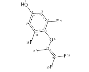 Oc1cc(F)c(OC(F)=C(F)F)c(F)c1